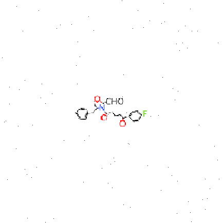 O=CC1OCC(Cc2ccccc2)N1C(=O)CCCC(=O)c1ccc(F)cc1